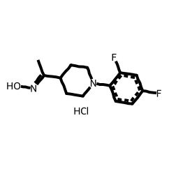 CC(=NO)C1CCN(c2ccc(F)cc2F)CC1.Cl